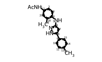 CC(=O)Nc1ccc(Nc2cc(-c3ccc(C)cc3)[nH]n2)c(C)c1